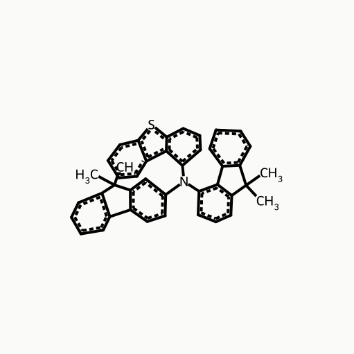 CC1(C)c2ccccc2-c2ccc(N(c3cccc4c3-c3ccccc3C4(C)C)c3cccc4sc5ccccc5c34)cc21